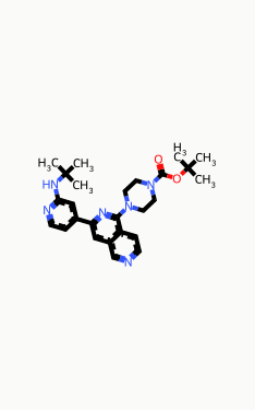 CC(C)(C)Nc1cc(-c2cc3cnccc3c(N3CCN(C(=O)OC(C)(C)C)CC3)n2)ccn1